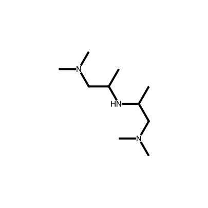 CC(CN(C)C)NC(C)CN(C)C